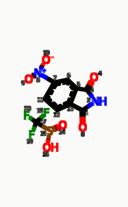 O=C1NC(=O)c2cc([N+](=O)[O-])ccc21.O=S(O)C(F)(F)F